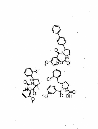 COc1cccc(C(=O)N2C(Cc3ccccc3Cl)CC[C@H]2C(=O)O)c1.COc1cccc(C(=O)N2C(c3ccc(-c4ccccc4)cc3)CC[C@H]2C(=O)O)c1.COc1cccc(C(=O)N2[C@@H](c3ccccc3Cl)CC[C@@]2(C)C(=O)O)c1